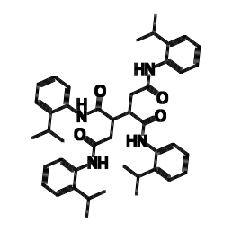 CC(C)c1ccccc1NC(=O)CC(C(=O)Nc1ccccc1C(C)C)C(CC(=O)Nc1ccccc1C(C)C)C(=O)Nc1ccccc1C(C)C